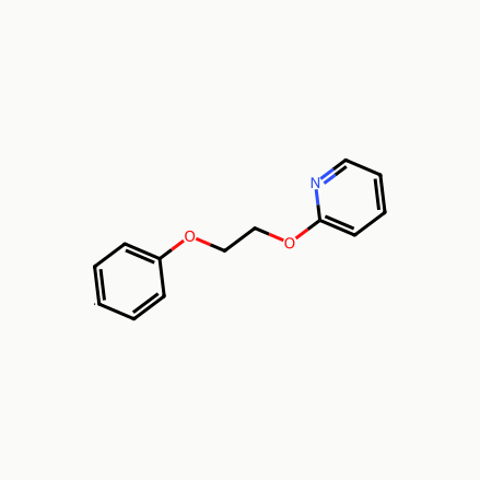 [c]1ccc(OCCOc2ccccn2)cc1